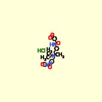 CCC(CC)N(CC1CCN(C(=O)N2CCOCC2)CC1)C(C)Cc1cccc(NC(=O)c2ccc3c(c2)OCO3)c1.Cl